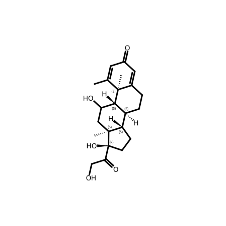 CC1=CC(=O)C=C2CC[C@@H]3[C@H](C(O)C[C@@]4(C)[C@H]3CC[C@]4(O)C(=O)CO)[C@@]12C